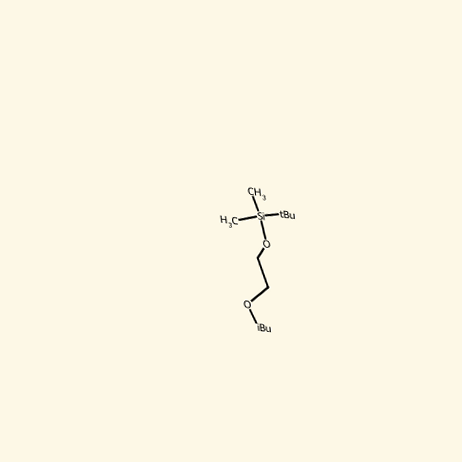 CCC(C)OCCO[Si](C)(C)C(C)(C)C